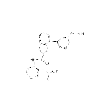 NCc1cccc(-c2cccc3cc(C(=O)Nc4ccccc4CC(=O)O)oc23)c1